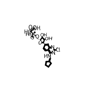 O=P(O)(O)CP(=O)(O)OC[C@H]1O[C@@H](c2ccc3c(NCC4CCCC4)nc(Cl)nc3c2)[C@H](O)[C@@H]1O